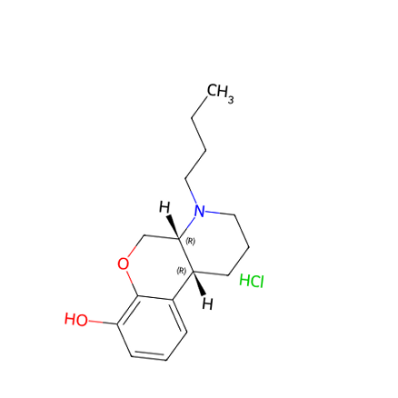 CCCCN1CCC[C@@H]2c3cccc(O)c3OC[C@@H]21.Cl